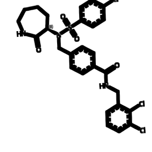 O=C(NCc1cccc(Cl)c1Cl)c1ccc(CN([C@@H]2CCCCNC2=O)S(=O)(=O)c2ccc(Cl)cc2)cc1